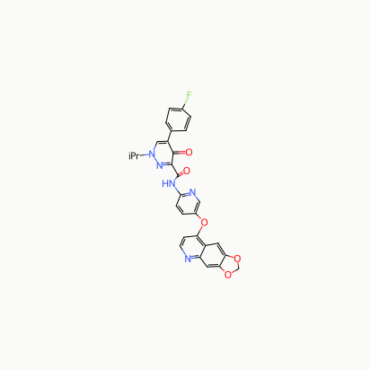 CC(C)n1cc(-c2ccc(F)cc2)c(=O)c(C(=O)Nc2ccc(Oc3ccnc4cc5c(cc34)OCO5)cn2)n1